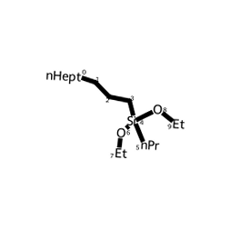 CCCCCCCCCC[Si](CCC)(OCC)OCC